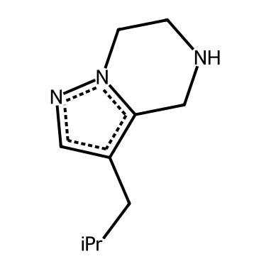 CC(C)Cc1cnn2c1CNCC2